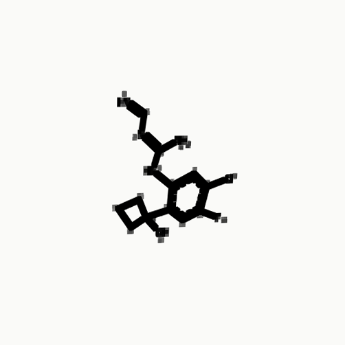 N=C/N=C(\N)Nc1cc(Cl)c(F)cc1C1(O)CCC1